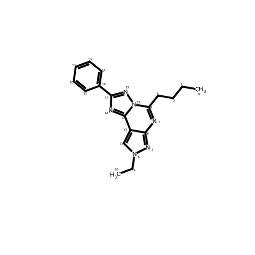 CCCCc1nc2nn(CC)cc2c2nc(-c3ccccc3)nn12